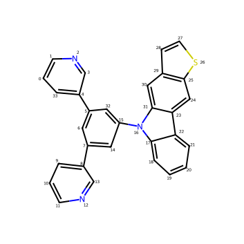 c1cncc(-c2cc(-c3cccnc3)cc(-n3c4ccccc4c4cc5sccc5cc43)c2)c1